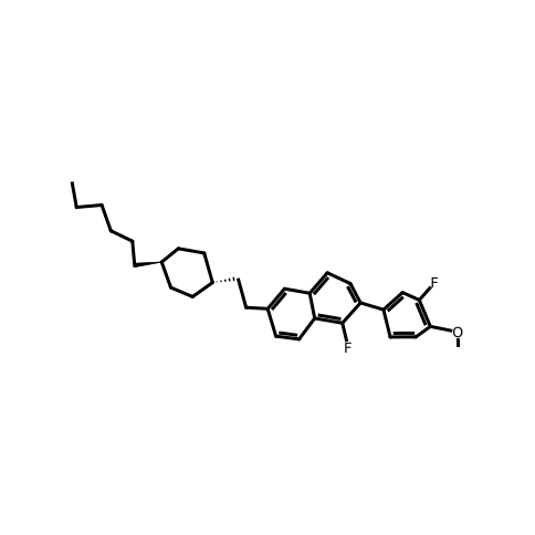 CCCCCC[C@H]1CC[C@H](CCc2ccc3c(F)c(-c4ccc(OC)c(F)c4)ccc3c2)CC1